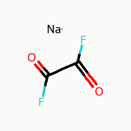 O=C(F)C(=O)F.[Na]